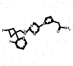 NC(=O)Cc1ccn(-c2cnc(NCC3(c4ncccc4F)CC(F)C3)nc2)c1